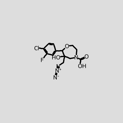 [N-]=[N+]=NCC1(O)CN(C(=O)O)CCOC1c1ccc(Cl)c(F)c1